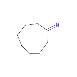 [N]=C1CCCCCCC1